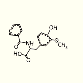 COc1cc(CC(NC(=O)c2ccccc2)C(=O)O)ccc1O